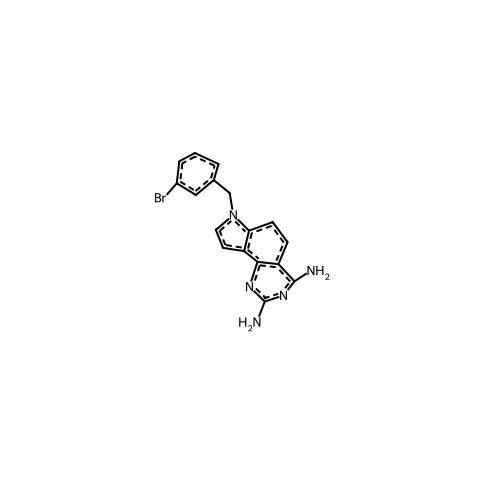 Nc1nc(N)c2ccc3c(ccn3Cc3cccc(Br)c3)c2n1